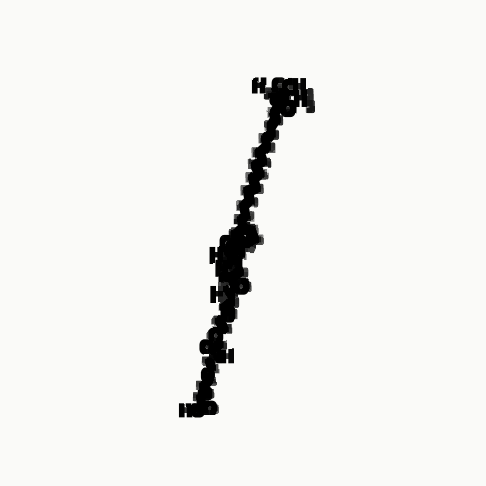 CC(C)(C)OC(=O)CCCCCCCCCCCCCCCCCc1cccc(S(=O)(=O)Nc2ncc(C(=O)NCCOCCOCC(=O)NCCOCCOCC(=O)O)cn2)c1